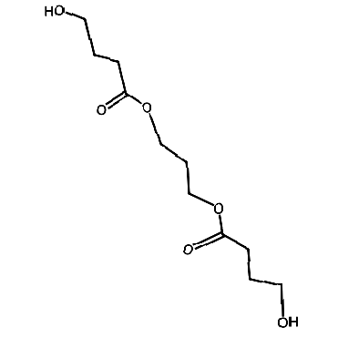 O=C(CCCO)OCCCOC(=O)CCCO